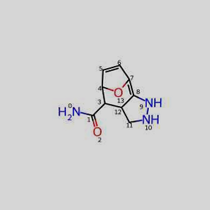 NC(=O)C1C2C=CC(=C3NNCC31)O2